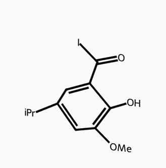 COc1cc(C(C)C)cc(C(=O)I)c1O